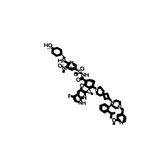 COc1cc(CN2CCN(C3CC4(CCN(c5ccc(C(=O)NS(=O)(=O)c6cnc(NC[C@H]7CC[C@](C)(O)CC7)c([NH+](C)[O-])c6)c(Oc6cc7c(F)c[nH]c7nc6OC)c5)CC4)C3)[C@H](c3ccccc3C(C)C)C2)ccn1